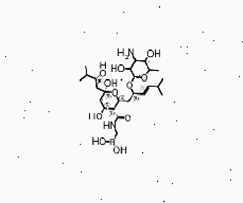 CC(C)/C=C/[C@@H](C[C@@H]1O[C@](O)(C[C@@H](O)C(C)C)C[C@H](O)[C@H]1C(=O)NCB(O)O)OC1OC(C)C(O)C(N)C1O